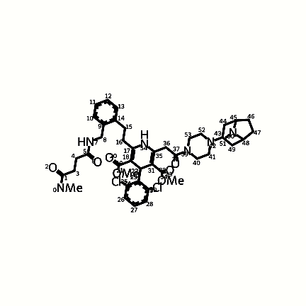 CNC(=O)CCC(=O)NCc1ccccc1CCC1=C(C(=O)OC)C(c2c(Cl)cccc2Cl)C(C(=O)OC)=C(CC(=O)N2CCN(C3CC4CCC(C3)N4C)CC2)N1